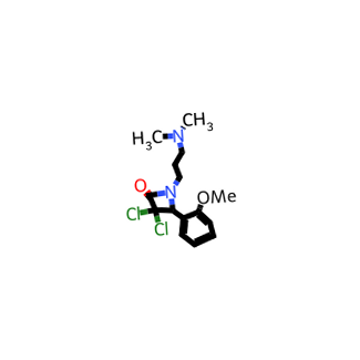 COc1ccccc1C1N(CCCN(C)C)C(=O)C1(Cl)Cl